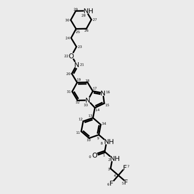 O=C(NCC(F)(F)F)Nc1cccc(-c2cnc3cc(C=NOCCC4CCNCC4)ccn23)c1